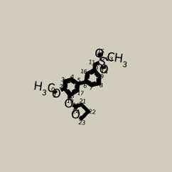 COc1ccc(-c2cccc([CH]S(C)(=O)=O)c2)cc1OC1CCCO1